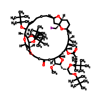 C=C1[C@H](C)C[C@H]2CC[C@@H]3O[C@@H](CCC/C=C/C(O[Si](C)(C)C(C)(C)C)[C@@H]4O[C@H]5CCC(CC(=O)C[C@@H]6[C@@H](OC)[C@@H](C[C@@H](CO[Si](C)(C)C(C)(C)C)O[Si](C)(C)C(C)(C)C)O[C@H]6C[C@H]1OC(C)=O)O[C@@H]5C(O[Si](C)(C)C(C)(C)C)C4O[Si](C)(C)C(C)(C)C)C[C@]3(CI)O2